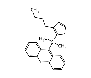 CCCCC1=C([Si](C)(C)c2c3ccccc3cc3ccccc23)CC=C1